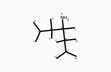 CC(C)C(C)(C)C(C)(N)C(C)(C)C(C)C